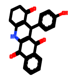 O=C1CCCC2=C1C(c1ccc(O)cc1)C1=C(N2)C(=O)c2ccccc2C1=O